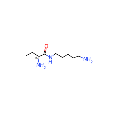 CC[C@H](N)C(=O)NCCCCCN